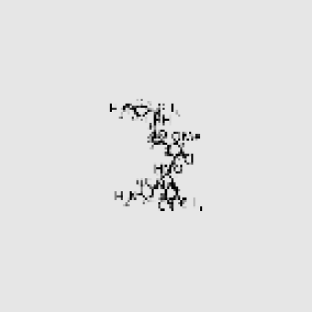 COc1cc(Cl)c(C(=O)NC(CNC2CCC(N)CC2)Cc2ccc(C#N)c(C)c2)cc1-c1ccc(CNC(C)c2ccc(C)cc2)o1